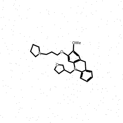 COc1cc2c(cc1OCCCN1CCCC1)N(CC1CCOC1)c1ccccc1C2